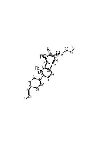 C/C=C/C1CCC(c2ccc3c(c2F)-c2c-3cc(OCCCC)c(F)c2F)CC1